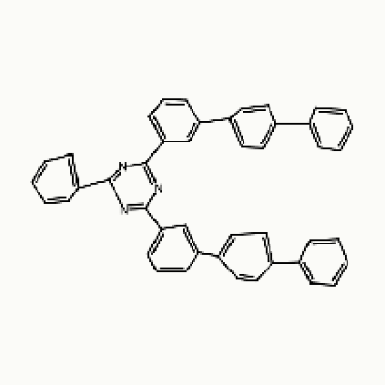 c1ccc(-c2ccc(-c3cccc(-c4nc(-c5ccccc5)nc(-c5cccc(-c6ccc(-c7ccccc7)cc6)c5)n4)c3)cc2)cc1